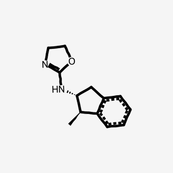 C[C@@H]1c2ccccc2C[C@H]1NC1=NCCO1